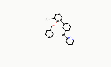 C=C(c1cccc(-c2cccc(C(C)(C)C)c2OCc2ccccc2)c1)c1ccccn1